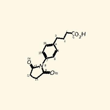 O=C(O)CCCc1ccc(N2C(=O)CCC2=O)cc1